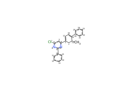 CC1CC(c2cc(Cl)nc(-c3ccccc3)n2)=CC=C1c1ccccc1